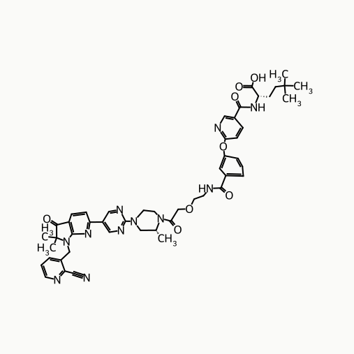 C[C@@H]1CN(c2ncc(-c3ccc4c(n3)N(Cc3cccnc3C#N)C(C)(C)C4=O)cn2)CCN1C(=O)COCCNC(=O)c1cccc(Oc2ccc(C(=O)N[C@@H](CCC(C)(C)C)C(=O)O)cn2)c1